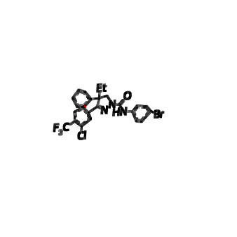 CCC1(c2ccccc2)CN(C(=O)Nc2ccc(Br)cc2)N=C1c1ccc(C(F)(F)F)c(Cl)c1